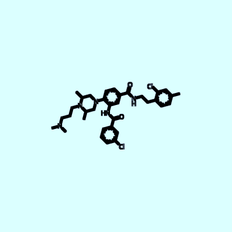 Cc1ccc(CCNC(=O)c2ccc(N3CC(C)N(CCCN(C)C)C(C)C3)c(NC(=O)c3cccc(Cl)c3)c2)c(Cl)c1